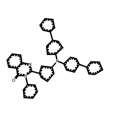 O=c1c2ccccc2nc(-c2cccc(N(c3ccc(-c4ccccc4)cc3)c3ccc(-c4ccccc4)cc3)c2)n1-c1ccccc1